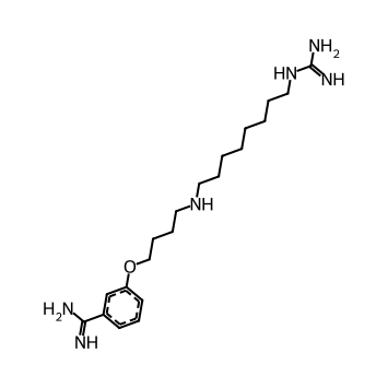 N=C(N)NCCCCCCCCNCCCCOc1cccc(C(=N)N)c1